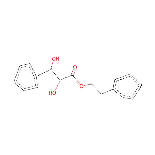 O=C(OCCc1ccccc1)C(O)C(O)c1ccccc1